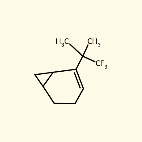 CC(C)(C1=CCCC2CC12)C(F)(F)F